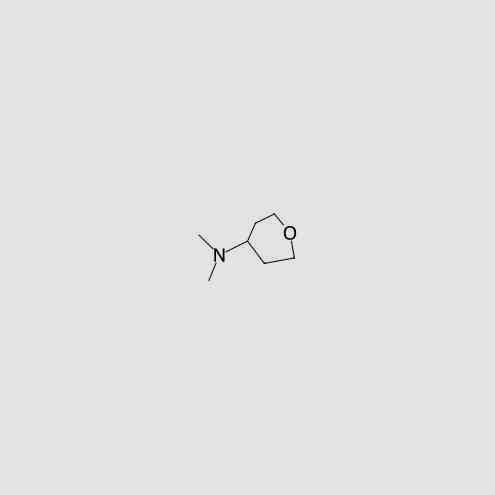 CN(C)C1CCOCC1